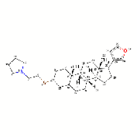 C[C@]12CCC(SCCN3CCCC3)CC1CC[C@@H]1[C@H]2CC[C@]2(C)C(c3ccoc3)CC[C@@H]12